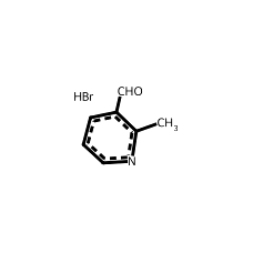 Br.Cc1ncccc1C=O